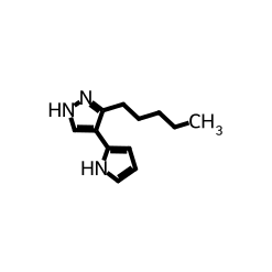 CCCCCc1n[nH]cc1-c1ccc[nH]1